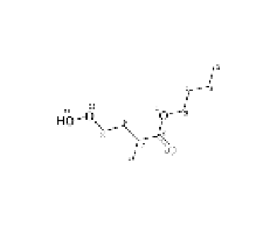 CCCCOC(=O)C(C)CCOO